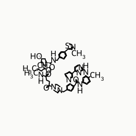 Cc1ccc(NC(=O)c2ccc(CN3CCN(C(=O)CCC(=O)N[C@H](C(=O)N4C[C@H](O)C[C@H]4C(=O)NCc4ccc(-c5scnc5C)cc4)C(C)(C)C)CC3)cc2)cc1Nc1nccc(-c2cccnc2)n1